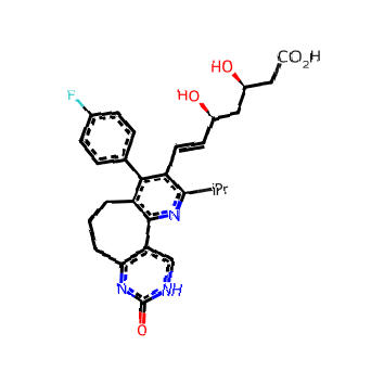 CC(C)c1nc2c(c(-c3ccc(F)cc3)c1/C=C/[C@@H](O)C[C@@H](O)CC(=O)O)CCCc1nc(=O)[nH]cc1-2